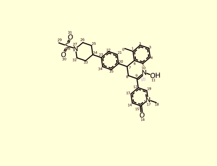 Cc1ccccc1C(C/C(=N/O)c1ccc(=O)n(C)c1)c1ccc(C2CCN(S(C)(=O)=O)CC2)cc1